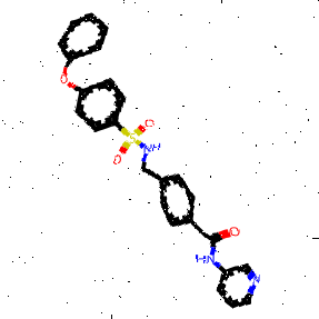 O=C(Nc1cccnc1)c1ccc(CNS(=O)(=O)c2ccc(Oc3ccccc3)cc2)cc1